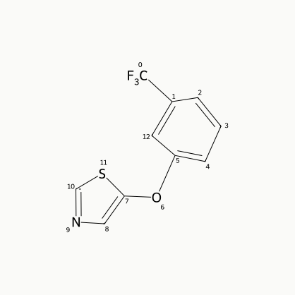 FC(F)(F)c1cccc(Oc2cn[c]s2)c1